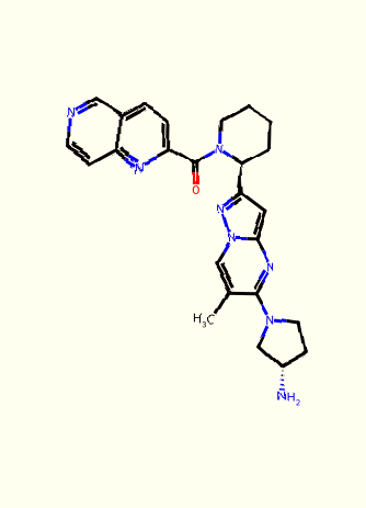 Cc1cn2nc([C@@H]3CCCCN3C(=O)c3ccc4cnccc4n3)cc2nc1N1CC[C@H](N)C1